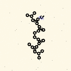 C=C/C=C\C(=C/C)c1ccc2c(c1)c1cc(-c3ccc4c(c3)c3cc(-c5cccc(-c6cccc(-c7ccc8c(c7)c7cc(-c9ccc%10c(c9)c9cc(-c%11ccccc%11)ccc9n%10-c9cccc(-c%10cc(-c%11ccccc%11)cc(-c%11ccccc%11)c%10)c9)ccc7n8-c7ccccc7)c6)c5)ccc3n4-c3ccccc3)ccc1n2-c1cccc(-c2cc(-c3ccccc3)cc(-c3ccccc3)c2)c1